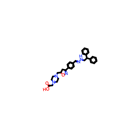 O=C(O)CN1CCN(CC2CC(c3ccc(/C=N/NCC(c4ccccc4)c4ccccc4)cc3)=NO2)CC1